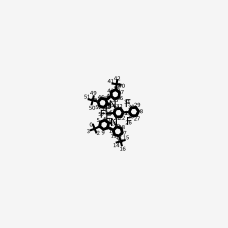 CC(C)(C)c1ccc2c(c1)c1cc(C(C)(C)C)ccc1n2-c1cc(-c2c(F)cccc2F)cc(-n2c3ccc(C(C)(C)C)cc3c3cc(C(C)(C)C)ccc32)c1C(F)(F)F